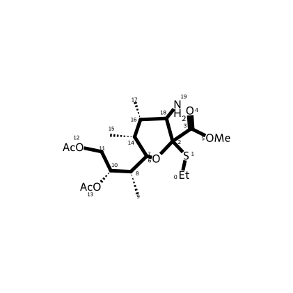 CCSC1(C(=O)OC)OC([C@H](C)[C@@H](COC(C)=O)OC(C)=O)[C@H](C)[C@H](C)C1N